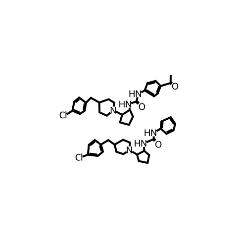 CC(=O)c1ccc(NC(=O)NC2CCCC2N2CCC(Cc3ccc(Cl)cc3)CC2)cc1.O=C(Nc1ccccc1)NC1CCCC1N1CCC(Cc2ccc(Cl)cc2)CC1